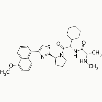 CN[C@@H](C)C(=O)N[C@H](C(=O)N1CCC[C@H]1c1nc(-c2cccc3c(OC)cccc23)cs1)C1CCCCC1